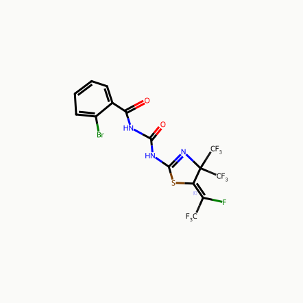 O=C(NC(=O)c1ccccc1Br)NC1=NC(C(F)(F)F)(C(F)(F)F)/C(=C(\F)C(F)(F)F)S1